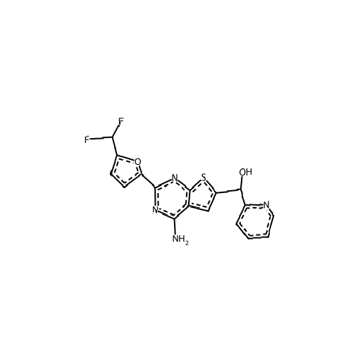 Nc1nc(-c2ccc(C(F)F)o2)nc2sc(C(O)c3ccccn3)cc12